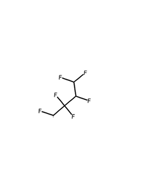 F[CH]C(F)(F)C(F)C(F)F